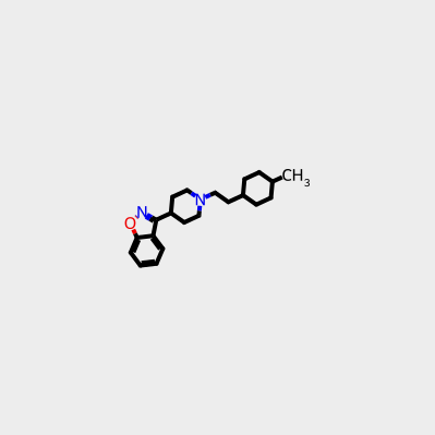 CC1CCC(CCN2CCC(c3noc4ccccc34)CC2)CC1